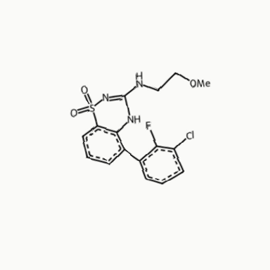 COCCNC1=NS(=O)(=O)c2cccc(-c3cccc(Cl)c3F)c2N1